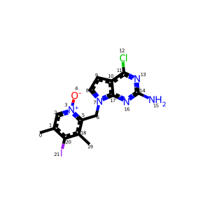 Cc1c[n+]([O-])c(Cn2ccc3c(Cl)nc(N)nc32)c(C)c1I